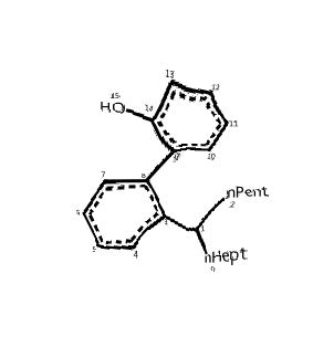 CCCCCCCC(CCCCC)c1ccccc1-c1ccccc1O